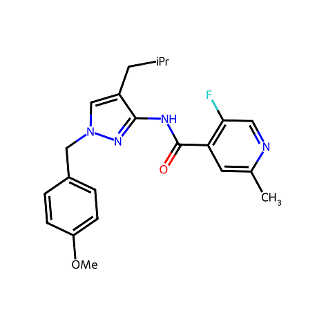 COc1ccc(Cn2cc(CC(C)C)c(NC(=O)c3cc(C)ncc3F)n2)cc1